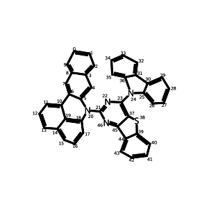 c1ccc2cc3c(cc2c1)-c1cccc2cccc(c12)N3c1nc(-n2c3ccccc3c3ccccc32)c2sc3ccccc3c2n1